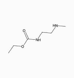 CCOC(=O)NCCNC